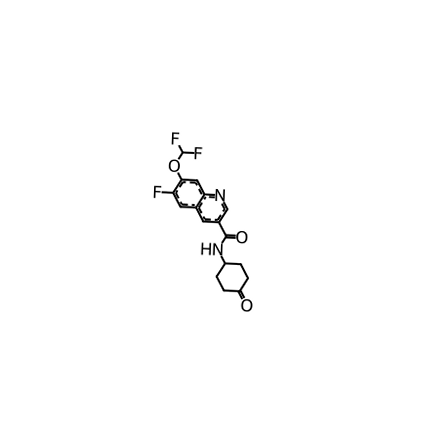 O=C1CCC(NC(=O)c2cnc3cc(OC(F)F)c(F)cc3c2)CC1